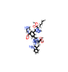 CCCCC[C@@H](C(=O)OC)n1cc(-c2cc(C(=O)N3CCNCC3)cc(-c3cn([C@@H](Cc4c[nH]c5ccccc45)C(=O)OC)nn3)c2)nn1